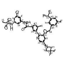 Cc1sc(C(=O)Nc2cc(Cl)cc(NS(C)(=O)=O)c2)cc1-c1ncc(N2CC(F)(F)C2)cc1OCc1cc(F)cc(C(F)F)c1